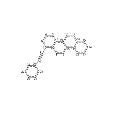 C(#Cc1cccc2c1ccc1c3ccccc3ccc21)c1ccccc1